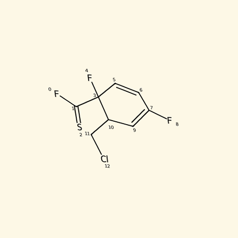 FC(=S)C1(F)C=CC(F)=CC1CCl